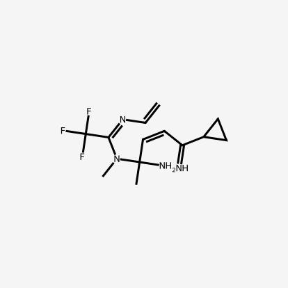 C=C/N=C(\N(C)C(C)(N)/C=C\C(=N)C1CC1)C(F)(F)F